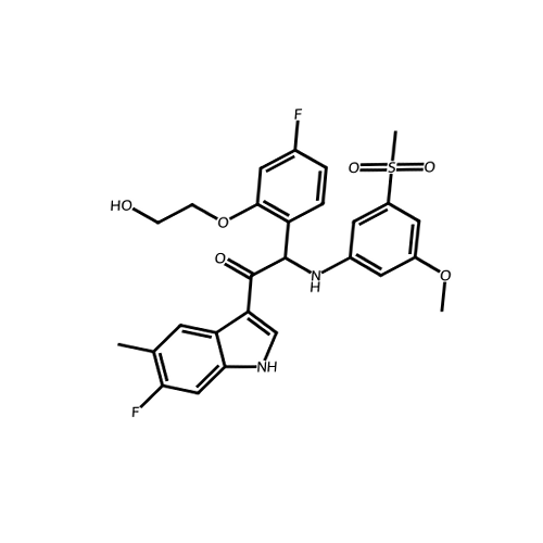 COc1cc(NC(C(=O)c2c[nH]c3cc(F)c(C)cc23)c2ccc(F)cc2OCCO)cc(S(C)(=O)=O)c1